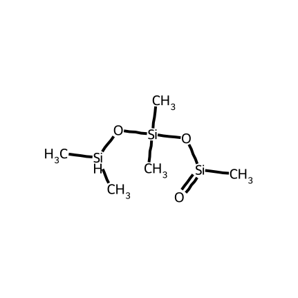 C[Si](=O)O[Si](C)(C)O[SiH](C)C